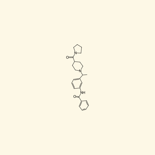 CC(c1cccc(NC(=O)c2ccccc2)c1)N1CCC(C(=O)N2CCCC2)CC1